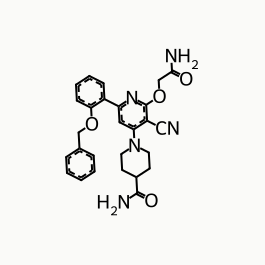 N#Cc1c(N2CCC(C(N)=O)CC2)cc(-c2ccccc2OCc2ccccc2)nc1OCC(N)=O